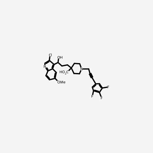 COc1ccc2ncc(Cl)c(C(O)CCC3(C(=O)O)CCN(CC#Cc4cc(F)c(F)c(F)c4)CC3)c2c1